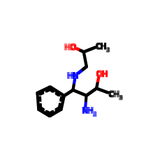 CC(O)CNC(c1ccccc1)C(N)C(C)O